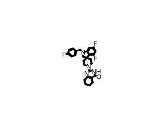 O=c1[nH]c(N2CCC3(CC2)CN(Cc2ccc(F)cc2)c2cc(F)cc(F)c23)nc2c1CCCC2